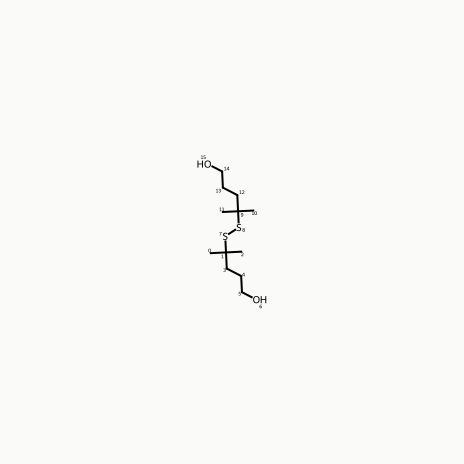 CC(C)(CCCO)SSC(C)(C)CCCO